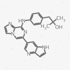 CC(C)(O)Cc1ccc(Nc2nc(-c3cnc4cc[nH]c4c3)cn3ccnc23)cc1